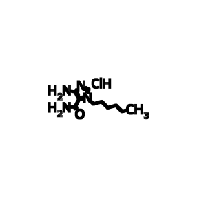 CCCCCCn1cnc(N)c1C(N)=O.Cl